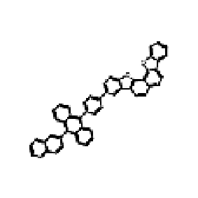 c1ccc2cc(-c3c4ccccc4c(-c4ccc(-c5ccc6oc7c(ccc8ccc9c%10ccccc%10oc9c87)c6c5)cc4)c4ccccc34)ccc2c1